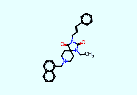 CCN1C(=O)N(C/C=C/c2ccccc2)C(=O)C12CCN(Cc1cccc3ccccc13)CC2